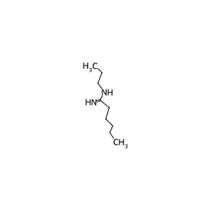 CCCCCC(=N)NCCC